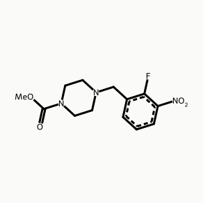 COC(=O)N1CCN(Cc2cccc([N+](=O)[O-])c2F)CC1